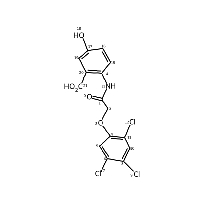 O=C(COc1cc(Cl)c(Cl)cc1Cl)Nc1ccc(O)cc1C(=O)O